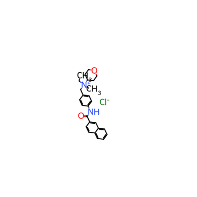 CC[N+](C)(Cc1ccc(NC(=O)c2ccc3ccccc3c2)cc1)C1CCOCC1.[Cl-]